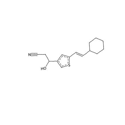 N#CCC(O)c1csc(C=CC2CCCCC2)c1